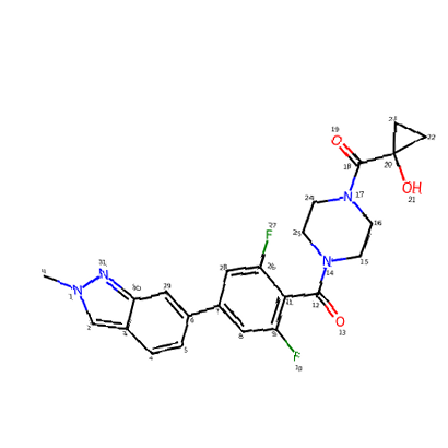 Cn1cc2ccc(-c3cc(F)c(C(=O)N4CCN(C(=O)C5(O)CC5)CC4)c(F)c3)cc2n1